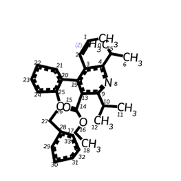 C/C=C\c1c(C(C)C)nc(C(C)C)c(C(=O)OCC)c1-c1ccccc1OCc1ccccc1